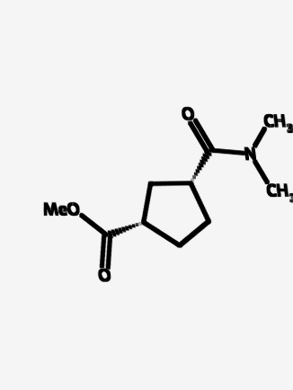 COC(=O)[C@H]1CC[C@@H](C(=O)N(C)C)C1